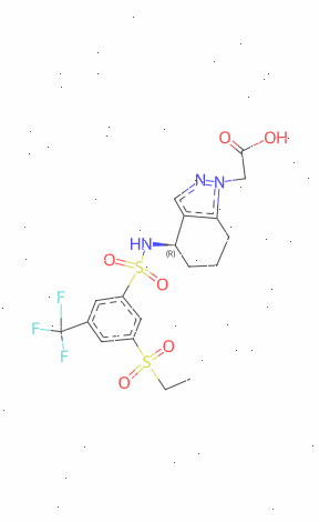 CCS(=O)(=O)c1cc(C(F)(F)F)cc(S(=O)(=O)N[C@@H]2CCCc3c2cnn3CC(=O)O)c1